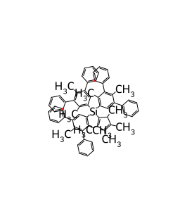 CC1=C(C)C(C)C([Si](c2cc(-c3ccccc3)c(C)c(-c3ccccc3)c2C)(c2cc(-c3ccccc3)c(C)c(-c3ccccc3)c2C)c2cc(-c3ccccc3)c(C)c(-c3ccccc3)c2C)=C1C